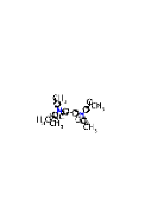 Cc1ccc(N(c2ccc(C(C)C)cc2)c2ccc(-c3ccc(N(c4ccc(C)cc4)c4ccc(C(C)C)cc4)c(C)c3)cc2C)cc1